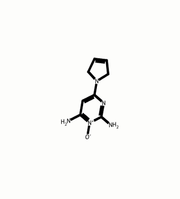 Nc1cc(N2CC=CC2)nc(N)[n+]1[O-]